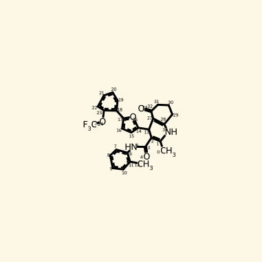 CC1=C(C(=O)Nc2ccccc2C)C(c2ccc(-c3ccccc3OC(F)(F)F)o2)C2=C(CCCC2=O)N1